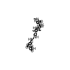 CCOc1cc(N2CCC(NCCNCCc3cc4oc(=O)n(C5CCC(=O)NC5=O)c4cc3F)CC2)c(CC)cc1Nc1ncc(Br)c(Nc2ccc3nc(CC)ncc3c2P(C)(C)=O)n1